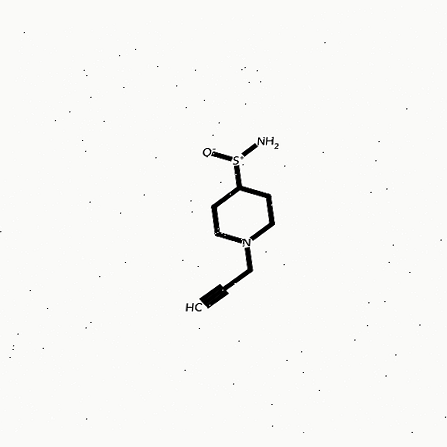 C#CCN1CCC([S+](N)[O-])CC1